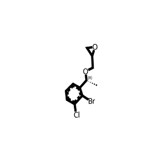 C[C@@H](OCC1CO1)c1cccc(Cl)c1Br